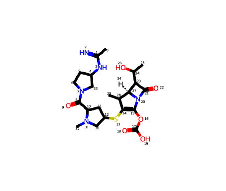 CC(=N)NC1CCN(C(=O)C2CC(SC3=C(OC(=O)O)N4C(=O)C(C(C)O)[C@@H]4C3C)CN2C)C1